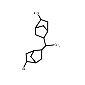 CC(C1CC2CC1CC2O)C1CC2CC1CC2O